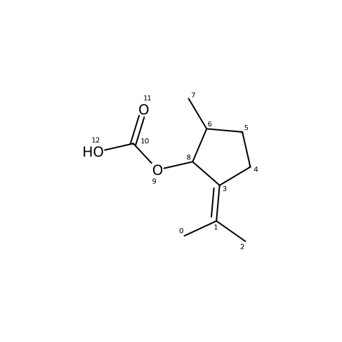 CC(C)=C1CCC(C)C1OC(=O)O